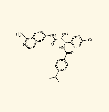 CC(C)c1ccc(C(=O)NC(c2ccc(Br)cc2)C(O)C(=O)Nc2ccc3c(N)nccc3c2)cc1